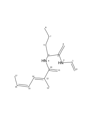 C=CNC(=C)C(CCC)NC(=C)/C(C)=C/C=C\C